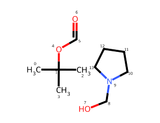 CC(C)(C)OC=O.OCN1CCCC1